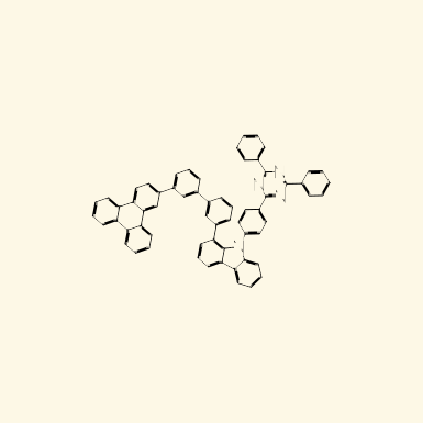 c1ccc(-c2nc(-c3ccccc3)nc(-c3ccc(-n4c5ccccc5c5cccc(-c6cccc(-c7cccc(-c8ccc9c%10ccccc%10c%10ccccc%10c9c8)c7)c6)c54)cc3)n2)cc1